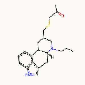 CCCN1C[C@H](CSCC(C)=O)CC2c3cccc4[nH]cc(c34)C[C@H]21